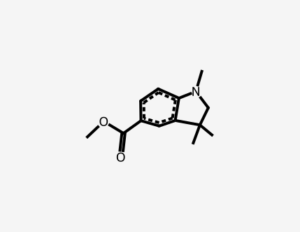 COC(=O)c1ccc2c(c1)C(C)(C)CN2C